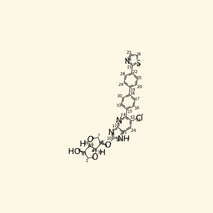 O[C@@H]1CO[C@H]2[C@@H]1OC[C@H]2Oc1nc2nc(-c3ccc(-c4ccc(-c5nccs5)cc4)cc3)c(Cl)cc2[nH]1